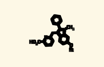 CCOc1ccc2c(Cc3cccc(C(=O)O)n3)c(-c3ccccc3)n(C)c2c1